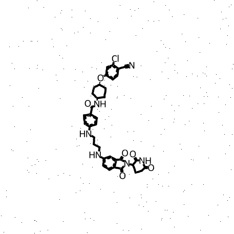 N#Cc1ccc(O[C@H]2CC[C@H](NC(=O)c3ccc(NCCCNc4ccc5c(c4)C(=O)N(C4CCC(=O)NC4=O)C5=O)cc3)CC2)cc1Cl